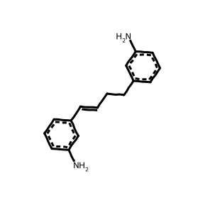 Nc1cccc(C=CCCc2cccc(N)c2)c1